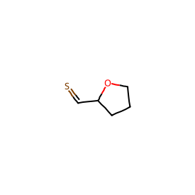 S=CC1CCCO1